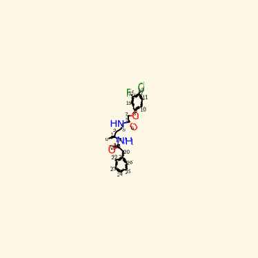 C=C(CCNC(=O)COc1ccc(Cl)c(F)c1)NC(=O)Cc1ccccc1